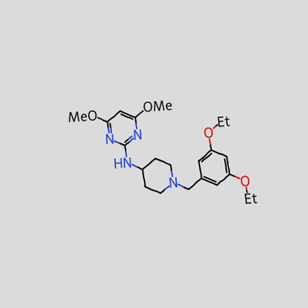 CCOc1cc(CN2CCC(Nc3nc(OC)cc(OC)n3)CC2)cc(OCC)c1